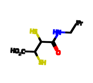 CC(C)CNC(=O)C(S)C(S)C(=O)O